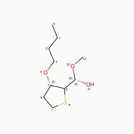 CCCCO[C@H]1CCSC1[C@@H](O)OC